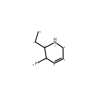 CCC1NCC=CC1F